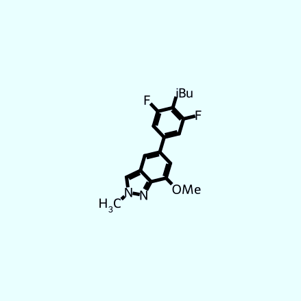 CCC(C)c1c(F)cc(-c2cc(OC)c3nn(C)cc3c2)cc1F